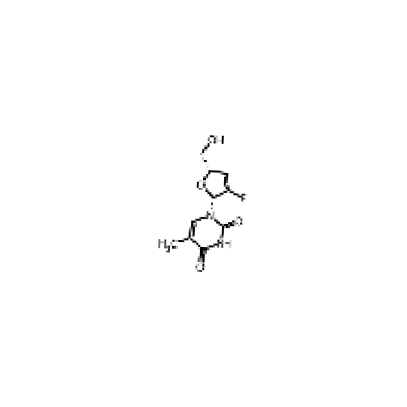 Cc1cn([C@@H]2O[C@H](CO)C=C2F)c(=O)[nH]c1=O